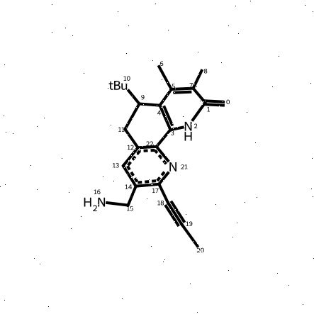 C=C1NC2=C(C(C)=C1C)C(C(C)(C)C)Cc1cc(CN)c(C#CC)nc12